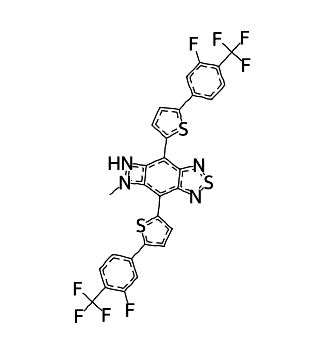 Cn1[nH]c2c(-c3ccc(-c4ccc(C(F)(F)F)c(F)c4)s3)c3nsnc3c(-c3ccc(-c4ccc(C(F)(F)F)c(F)c4)s3)c21